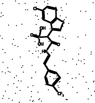 O=C(NC=Cc1ccc(C(F)(F)F)cc1)C(c1csc2ccc(Cl)cc12)P(=O)(O)O